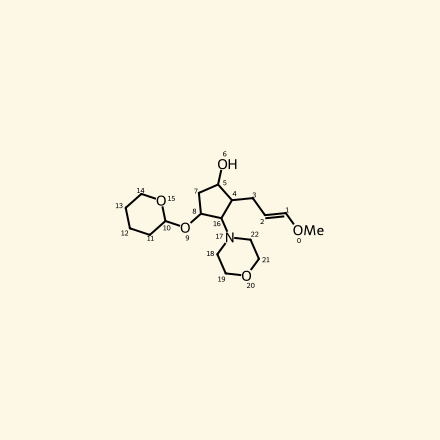 COC=CCC1C(O)CC(OC2CCCCO2)C1N1CCOCC1